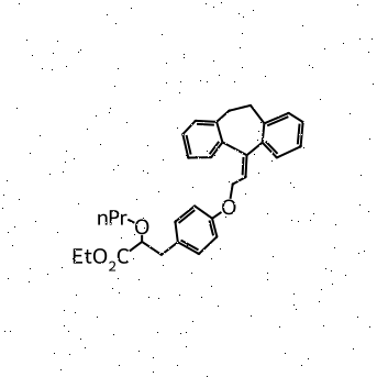 CCCOC(Cc1ccc(OCC=C2c3ccccc3CCc3ccccc32)cc1)C(=O)OCC